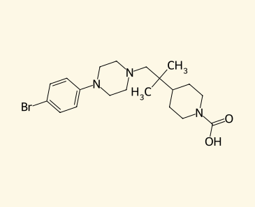 CC(C)(CN1CCN(c2ccc(Br)cc2)CC1)C1CCN(C(=O)O)CC1